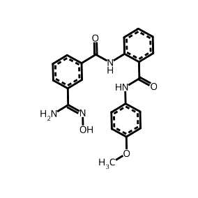 COc1ccc(NC(=O)c2ccccc2NC(=O)c2cccc(C(N)=NO)c2)cc1